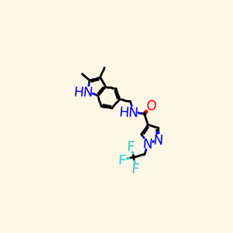 Cc1[nH]c2ccc(CNC(=O)c3cnn(CC(F)(F)F)c3)cc2c1C